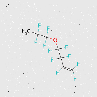 FC(F)=C(F)C(F)(F)C(F)(F)OC(F)(F)C(F)(F)C(F)(F)F